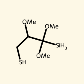 COC(CS)C([SiH3])(OC)OC